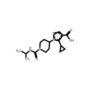 CC(C)NC(=O)N1CCC(n2ncc(C(=O)O)c2C2CC2)CC1